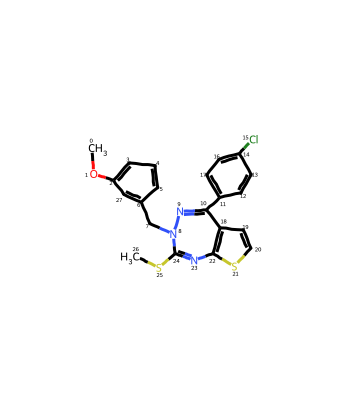 COc1cccc(CN2N=C(c3ccc(Cl)cc3)c3ccsc3N=C2SC)c1